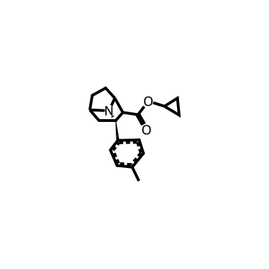 Cc1ccc([C@H]2CC3CCC(C2C(=O)OC2CC2)N3C)cc1